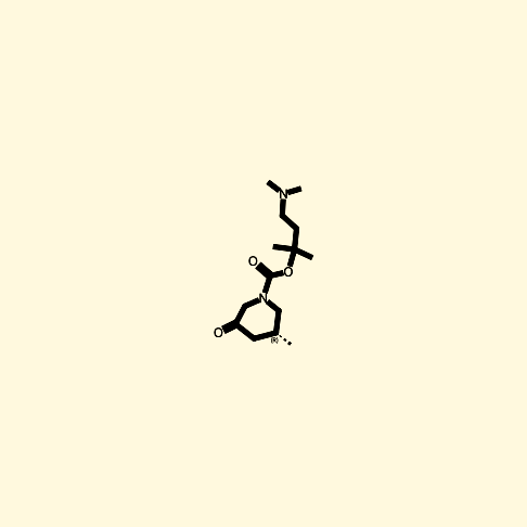 C[C@@H]1CC(=O)CN(C(=O)OC(C)(C)CCN(C)C)C1